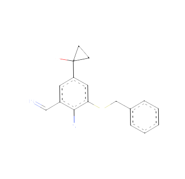 N=Cc1cc(C2(O)CC2)cc(SCc2ccccc2)c1N